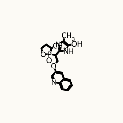 Cc1nc(C(COc2cnc3ccccc3c2)P2(=O)OCCC2C)[nH]c1O